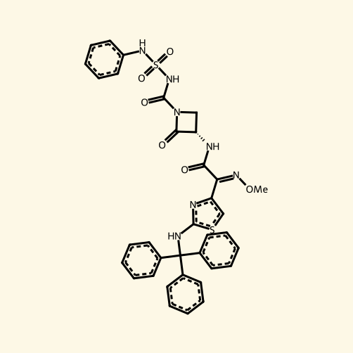 CON=C(C(=O)N[C@H]1CN(C(=O)NS(=O)(=O)Nc2ccccc2)C1=O)c1csc(NC(c2ccccc2)(c2ccccc2)c2ccccc2)n1